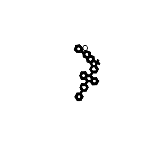 CC1(C)C2=CC=C(c3c4ccccc4c(C4=CC=C(c5ccccc5)CC4)c4ccccc34)CC2c2cc3cc4c(cc3cc21)oc1ccccc14